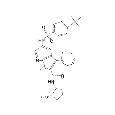 CC(C)(C)c1ccc(S(=O)(=O)Nc2cnc3[nH]c(C(=O)NC4CCCC4O)c(-c4ccccc4)c3c2)cc1